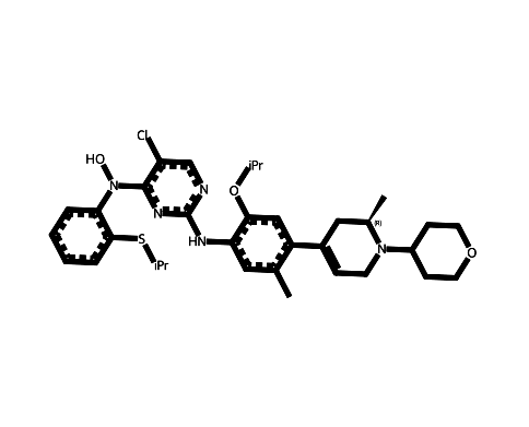 Cc1cc(Nc2ncc(Cl)c(N(O)c3ccccc3SC(C)C)n2)c(OC(C)C)cc1C1=CCN(C2CCOCC2)[C@H](C)C1